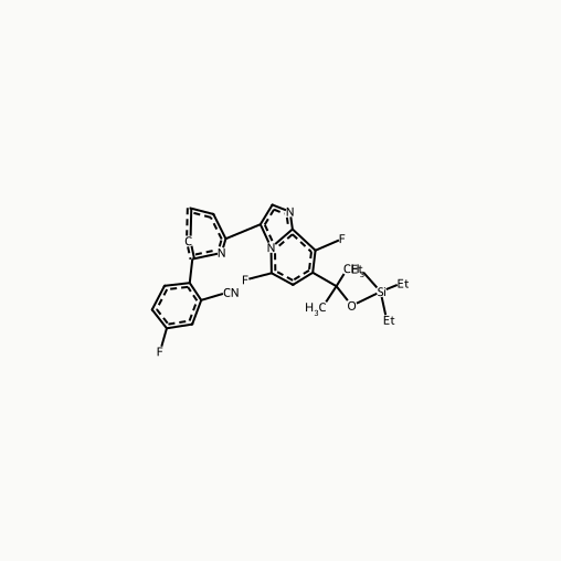 CC[Si](CC)(CC)OC(C)(C)c1cc(F)n2c(-c3cccc(-c4ccc(F)cc4C#N)n3)cnc2c1F